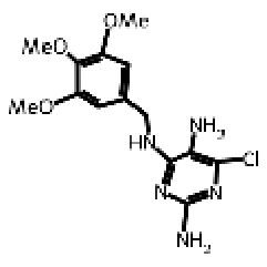 COc1cc(CNc2nc(N)nc(Cl)c2N)cc(OC)c1OC